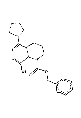 O=C(O)C1C(C(=O)N2CCCC2)CCCN1C(=O)OCc1ccccc1